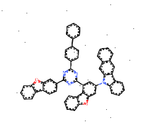 c1ccc(-c2ccc(-c3nc(-c4ccc5c(c4)oc4ccccc45)nc(-c4cc(-n5c6ccccc6c6cc7ccccc7cc65)cc5oc6ccccc6c45)n3)cc2)cc1